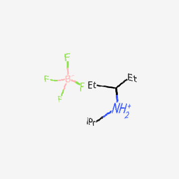 CCC(CC)[NH2+]C(C)C.F[B-](F)(F)F